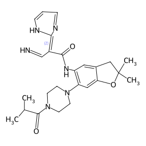 CC(C)C(=O)N1CCN(c2cc3c(cc2NC(=O)/C(C=N)=C2\N=CC=CN2)CC(C)(C)O3)CC1